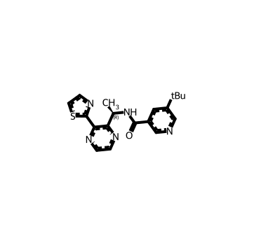 C[C@@H](NC(=O)c1cncc(C(C)(C)C)c1)c1nccnc1-c1nccs1